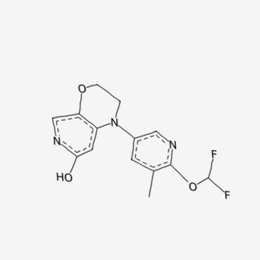 Cc1cc(N2CCOc3cnc(O)cc32)cnc1OC(F)F